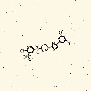 COc1cc(OC)cc(-c2csc(N3CCC(S(=O)(=O)c4ccc(Cl)c([N+](=O)[O-])c4)CC3)n2)c1